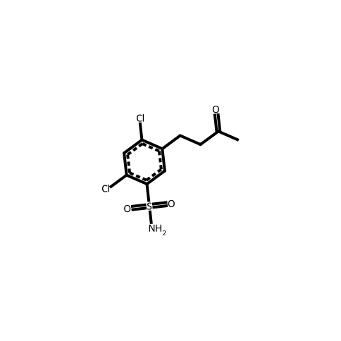 CC(=O)CCc1cc(S(N)(=O)=O)c(Cl)cc1Cl